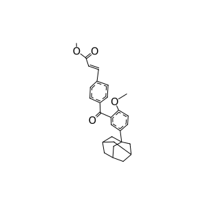 COC(=O)/C=C/c1ccc(C(=O)c2cc(C34CC5CC(CC(C5)C3)C4)ccc2OC)cc1